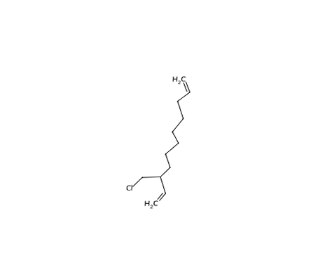 C=CCCCCCCC(C=C)CCl